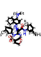 CCN(CC)c1ccc(/N=C(\C(=O)Nc2cc(NC(C)=O)ccc2C)C2=Nc3occc3S(=O)(=O)N2c2cccc(C)c2)c2c1CCCC2